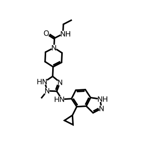 CCNC(=O)N1CC=C(C2N=C(Nc3ccc4[nH]ncc4c3C3CC3)N(C)N2)CC1